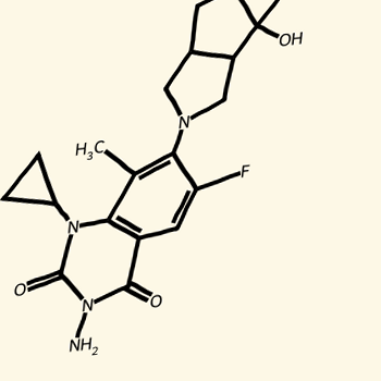 Cc1c(N2CC3CCC(O)(CO)C3C2)c(F)cc2c(=O)n(N)c(=O)n(C3CC3)c12